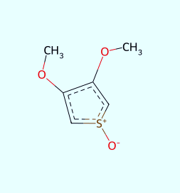 COc1c[s+]([O-])cc1OC